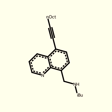 [CH2]CC(C)NCc1ccc(C#CCCCCCCCC)c2cccnc12